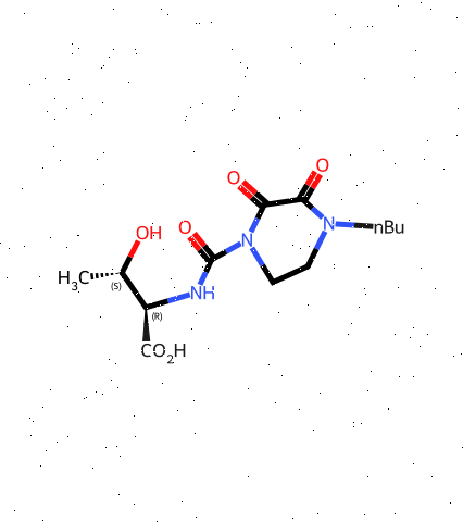 CCCCN1CCN(C(=O)N[C@@H](C(=O)O)[C@H](C)O)C(=O)C1=O